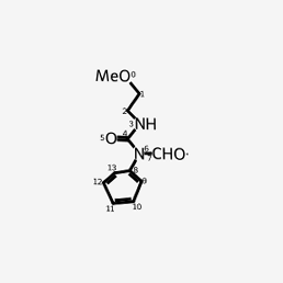 COCCNC(=O)N([C]=O)c1ccccc1